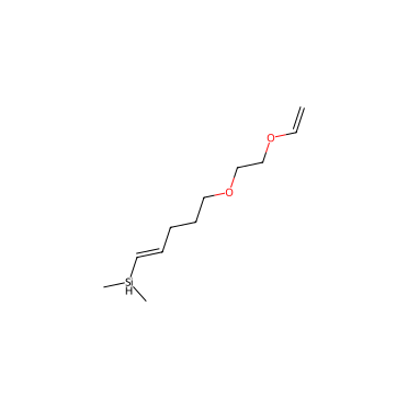 C=COCCOCCCC=C[SiH](C)C